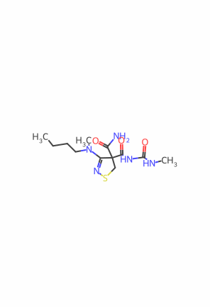 CCCCN(C)C1=NSCC1(C(N)=O)C(=O)NC(=O)NC